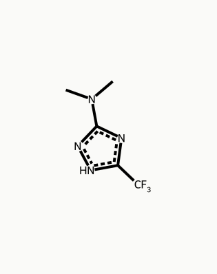 CN(C)c1n[nH]c(C(F)(F)F)n1